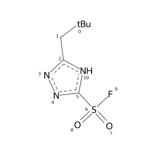 CC(C)(C)Cc1nnc(S(=O)(=O)F)[nH]1